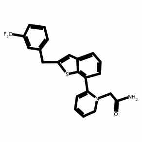 NC(=O)CN1CC=CC=C1c1cccc2cc(Cc3cccc(C(F)(F)F)c3)sc12